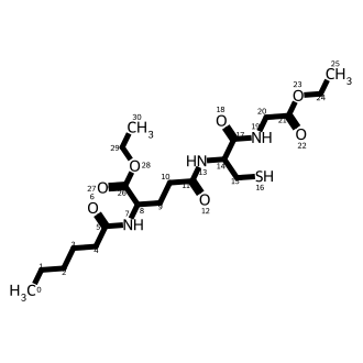 CCCCCC(=O)NC(CCC(=O)NC(CS)C(=O)NCC(=O)OCC)C(=O)OCC